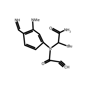 C#CC(=O)N(c1ccc(C=N)c(NC)c1)C(C(N)=O)C(C)(C)C